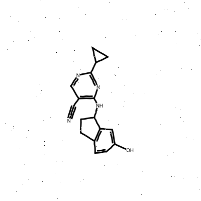 N#Cc1cnc(C2CC2)nc1NC1CCc2ccc(O)cc21